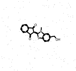 CN1C(=C2C(=O)c3ccccc3C2=O)Sc2ccc(CO)cc21